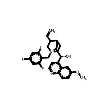 C=CC1C[N+]2(Cc3c(F)cc(F)cc3F)CCC1CC2[C@H](O)c1ccnc2ccc(OC)cc12